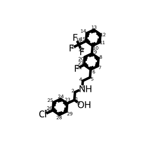 OC(CNCCc1ccc(-c2ccccc2C(F)(F)F)cc1F)c1ccc(Cl)cc1